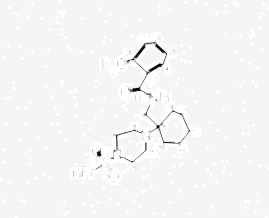 CCCS(=O)(=O)N1CCN(C2(CNC(=O)c3ccccc3C(F)(F)F)CCCCC2)CC1